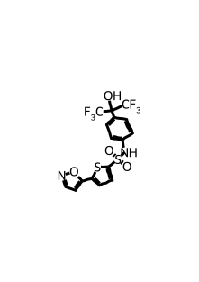 O=S(=O)(Nc1ccc(C(O)(C(F)(F)F)C(F)(F)F)cc1)c1ccc(-c2ccno2)s1